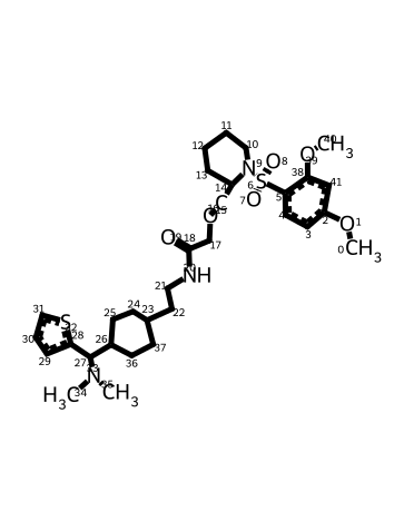 COc1ccc(S(=O)(=O)N2CCCCC2COCC(=O)NCCC2CCC(C(c3cccs3)N(C)C)CC2)c(OC)c1